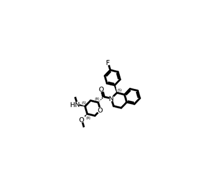 CN[C@H]1C[C@H](C(=O)N2CCc3ccccc3[C@@H]2c2ccc(F)cc2)OC[C@@H]1OC